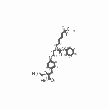 CCOC(Cc1ccc(OCCN(CCCCCC(C)(F)F)C(=O)OC2CCCCC2)cc1)C(=O)O